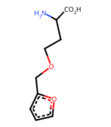 NC(CCOCc1ccco1)C(=O)O